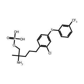 CC(N)(CCCc1ccc(Sc2cccc(C(F)(F)F)c2)cc1Cl)COP(=O)(O)O